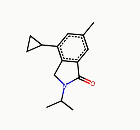 Cc1cc2c(c(C3CC3)c1)CN(C(C)C)C2=O